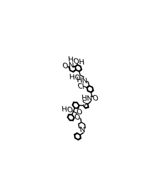 O=C(NCc1ccc(-c2cccc([C@](O)(C(=O)OCC3CCN(Cc4ccccc4)CC3)c3ccccc3)c2)s1)c1ccc(CNC[C@H](O)c2ccc(O)c3[nH]c(=O)ccc23)c(Cl)c1